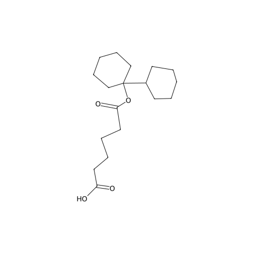 O=C(O)CCCCC(=O)OC1(C2CCCCC2)CCCCC1